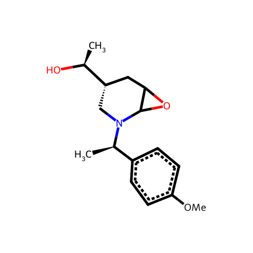 COc1ccc([C@@H](C)N2C[C@H]([C@H](C)O)CC3OC32)cc1